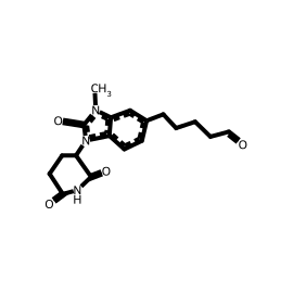 Cn1c(=O)n(C2CCC(=O)NC2=O)c2ccc(CCCCC=O)cc21